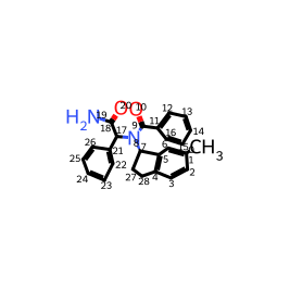 Cc1ccc2c(c1)[C@H](N(C(=O)c1ccccc1)C(C(N)=O)c1ccccc1)CC2